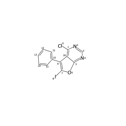 Clc1ncnc2oc(I)c(-c3ccccc3)c12